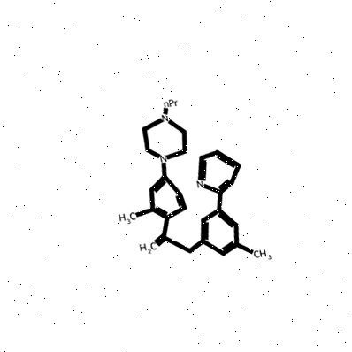 C=C(Cc1cc(C)cc(-c2ccccn2)c1)c1ccc(N2CCN(CCC)CC2)cc1C